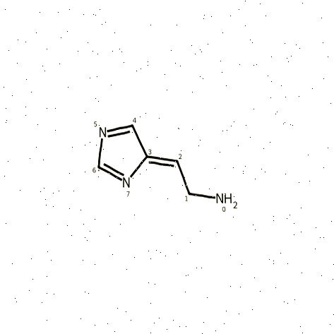 NCC=C1C=N[C]=N1